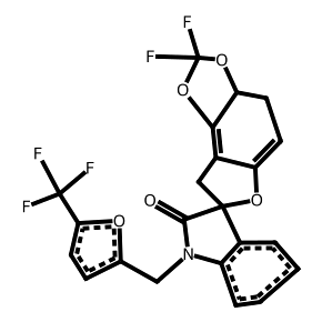 O=C1N(Cc2ccc(C(F)(F)F)o2)c2ccccc2C12CC1=C3OC(F)(F)OC3CC=C1O2